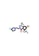 Cc1cc(Br)cc(C)c1C(=O)NCCN1CC[C@@H](F)C1